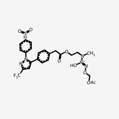 CC(=O)OCO/N=[N+](\O)N(C)CCOC(=O)Cc1ccc(-c2cc(C(F)(F)F)nn2-c2ccc([SH](=O)=O)cc2)cc1